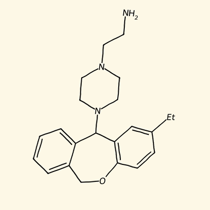 CCc1ccc2c(c1)C(N1CCN(CCN)CC1)c1ccccc1CO2